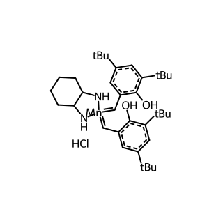 CC(C)(C)c1cc([CH]=[Mn]2(=[CH]c3cc(C(C)(C)C)cc(C(C)(C)C)c3O)[NH]C3CCCCC3[NH]2)c(O)c(C(C)(C)C)c1.Cl